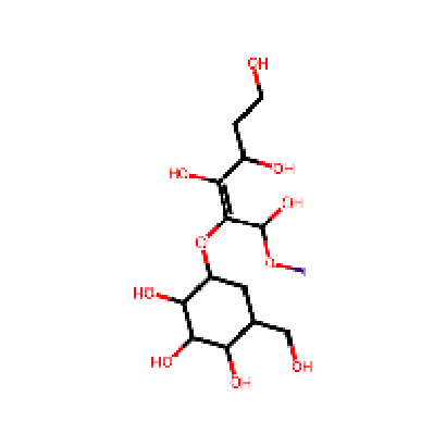 OCCC(O)/C(O)=C(/OC1CC(CO)C(O)C(O)C1O)C(O)OI